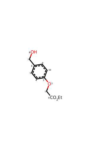 CCOC(=O)COc1ccc(CO)cc1